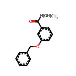 CN(O)C(=O)c1cccc(OCc2ccccc2)c1